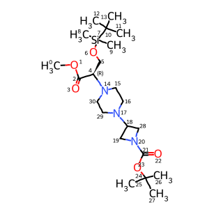 COC(=O)[C@@H](CO[Si](C)(C)C(C)(C)C)N1CCN(C2CN(C(=O)OC(C)(C)C)C2)CC1